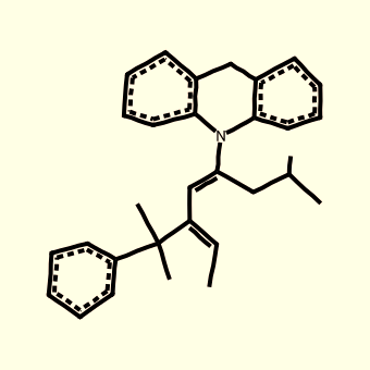 C/C=C(/C=C(\CC(C)C)N1c2ccccc2Cc2ccccc21)C(C)(C)c1ccccc1